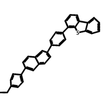 CCc1ccc(-c2ccc3cc(-c4ccc(-c5cccc6c5sc5ccccc56)cc4)ccc3c2)cc1